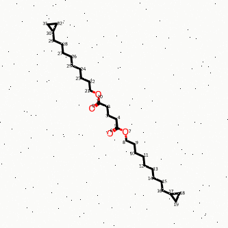 O=C(CCCC(=O)OCCCCCCCCCC1CC1)OCCCCCCCCCC1CC1